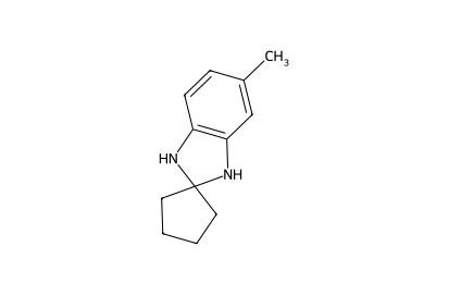 Cc1ccc2c(c1)NC1(CCCC1)N2